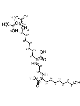 CC(=O)O.CC(=O)O.CCCCCCCCC(NCCNC(CCCCCCCC)C(=O)O)C(=O)O